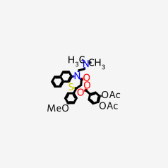 COc1ccc(C2(OC(=O)c3ccc(OC(C)=O)c(OC(C)=O)c3)CC(=O)N(CCN(C)C)c3ccc4ccccc4c3S2)cc1